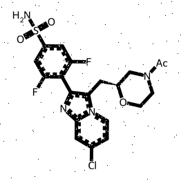 CC(=O)N1CCO[C@@H](Cc2c(-c3c(F)cc(S(N)(=O)=O)cc3F)nc3cc(Cl)ccn23)C1